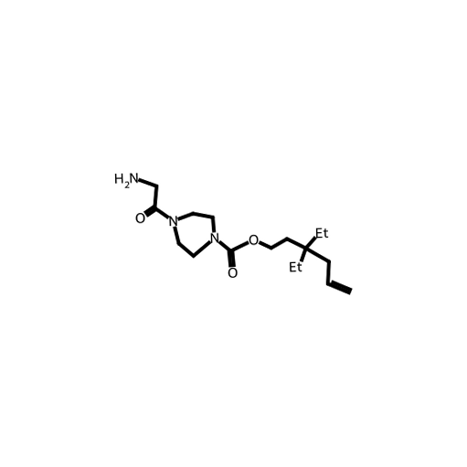 C=CCC(CC)(CC)CCOC(=O)N1CCN(C(=O)CN)CC1